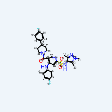 Cc1cc(F)ccc1Nc1cc(S(=O)(=O)Nc2c(C)nn(C)c2C)ncc1C(=O)N1CCC(c2ccc(F)cc2)CC1